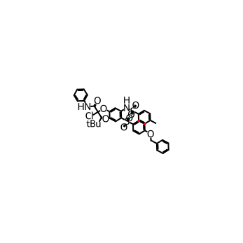 Cc1ccc(S(=O)(=O)Nc2cc(OC(Cl)(C(=O)Nc3ccccc3)C(=O)C(C)(C)C)ccc2S(=O)(=O)c2ccc(OCc3ccccc3)cc2)cc1